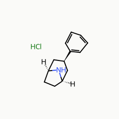 Cl.c1ccc([C@H]2C[C@H]3CC[C@@H](C2)N3)cc1